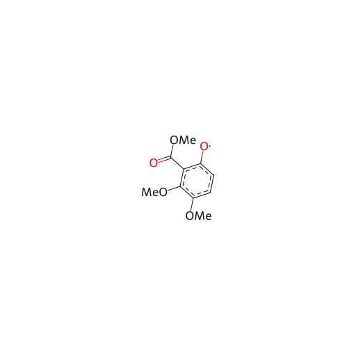 COC(=O)c1c([O])ccc(OC)c1OC